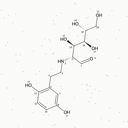 O=C[C@H](NCCc1cc(O)ccc1O)[C@@H](O)[C@H](O)[C@H](O)CO